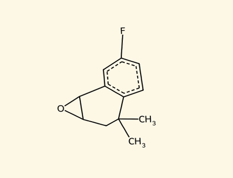 CC1(C)CC2OC2c2cc(F)ccc21